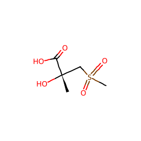 C[C@](O)(CS(C)(=O)=O)C(=O)O